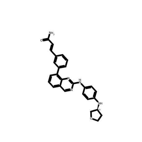 NC(=O)C=Cc1cccc(-c2cccc3cnc(Nc4ccc(N[C@H]5CCOC5)cc4)nc23)c1